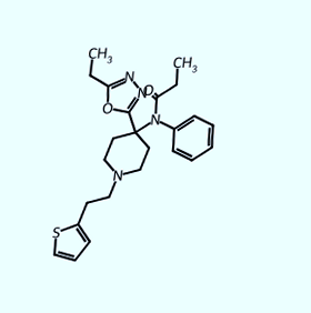 CCC(=O)N(c1ccccc1)C1(c2nnc(CC)o2)CCN(CCc2cccs2)CC1